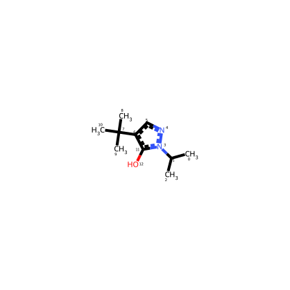 CC(C)n1ncc(C(C)(C)C)c1O